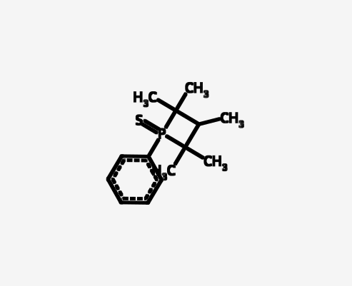 CC1C(C)(C)P(=S)(c2ccccc2)C1(C)C